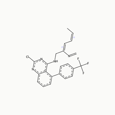 C=N/C(=C\C=C/C)CNc1nc(Cl)nc2cccc(-c3ccc(C(F)(F)F)cc3)c12